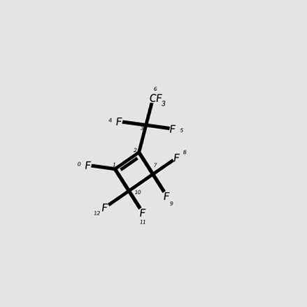 FC1=C(C(F)(F)C(F)(F)F)C(F)(F)C1(F)F